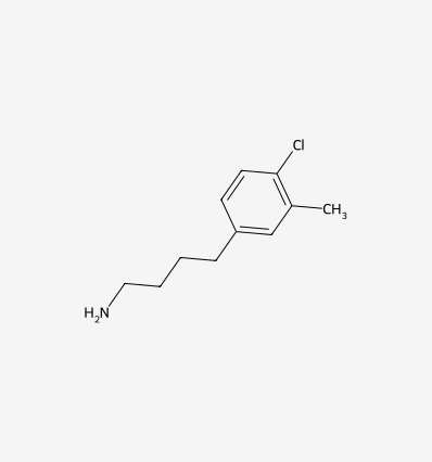 Cc1cc(CCCCN)ccc1Cl